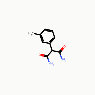 Cc1cccc(C(C(N)=O)C(N)=O)c1